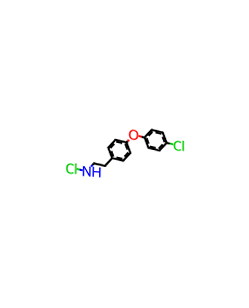 ClNCCc1ccc(Oc2ccc(Cl)cc2)cc1